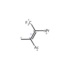 CCC/C(=C(/C)C(C)=O)C(F)(F)F